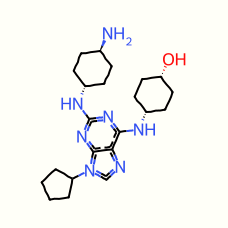 N[C@H]1CC[C@H](Nc2nc(N[C@H]3CC[C@@H](O)CC3)c3ncn(C4CCCC4)c3n2)CC1